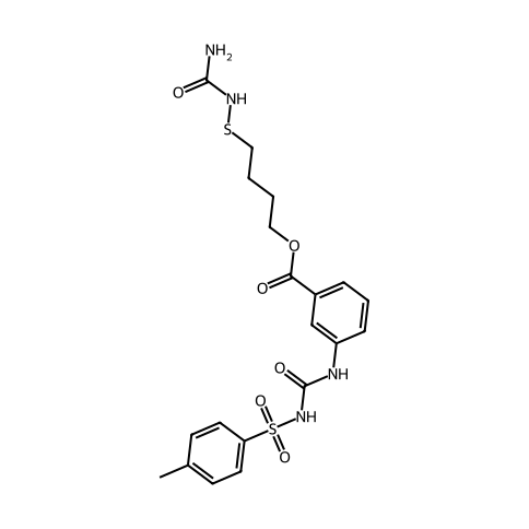 Cc1ccc(S(=O)(=O)NC(=O)Nc2cccc(C(=O)OCCCCSNC(N)=O)c2)cc1